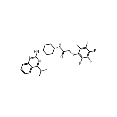 CN(C)c1nc(N[C@H]2CC[C@@H](NC(=O)COc3c(F)c(F)c(F)c(F)c3F)CC2)nc2ccccc12